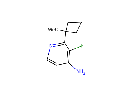 COC1(c2nccc(N)c2F)CCC1